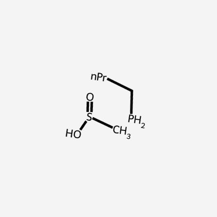 CCCCP.CS(=O)O